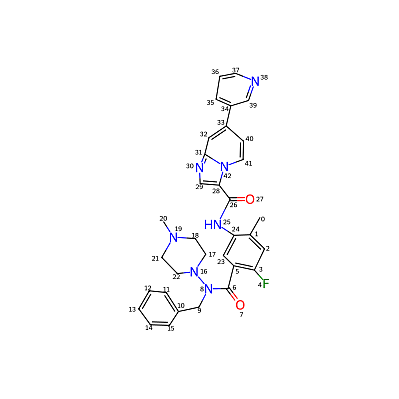 Cc1cc(F)c(C(=O)N(Cc2ccccc2)N2CCN(C)CC2)cc1NC(=O)c1cnc2cc(-c3cccnc3)ccn12